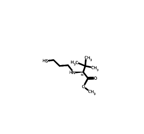 COC(=O)[C@@H](NCCCS)C(C)(C)C